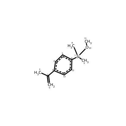 C=C(C)c1ccc([Si](C)(C)OC)cc1